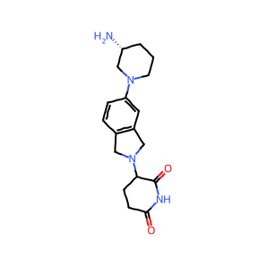 N[C@@H]1CCCN(c2ccc3c(c2)CN(C2CCC(=O)NC2=O)C3)C1